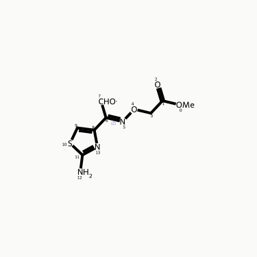 COC(=O)CO/N=C(\[C]=O)c1csc(N)n1